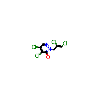 O=c1c(Cl)c(Cl)cnn1C/C(Cl)=C/Cl